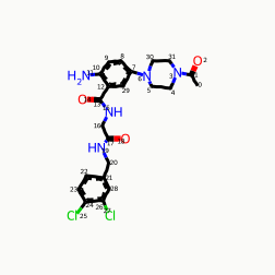 CC(=O)N1CCN(c2ccc(N)c(C(=O)NCC(=O)NCc3ccc(Cl)c(Cl)c3)c2)CC1